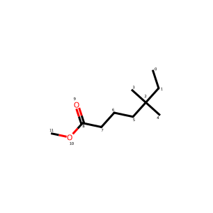 CCC(C)(C)CCCC(=O)OC